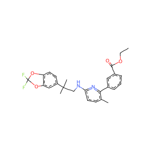 CCOC(=O)c1cccc(-c2nc(NCC(C)(C)c3ccc4c(c3)OC(F)(F)O4)ccc2C)c1